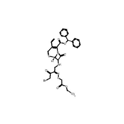 C=CC1=C(C(=O)OC(c2ccccc2)c2ccccc2)N2C(=O)C(NCC(=NOCC(=O)OCC(Cl)(Cl)Cl)C(=O)CBr)[C@@H]2SC1